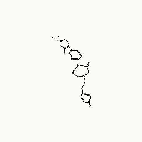 O=C(O)N1CCc2c(sc3cc(N4CCN(CCc5ccc(Cl)cc5)CC4=O)ccc23)C1